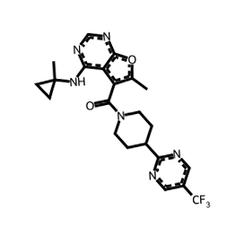 Cc1oc2ncnc(NC3(C)CC3)c2c1C(=O)N1CCC(c2ncc(C(F)(F)F)cn2)CC1